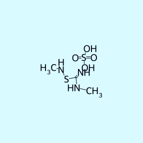 CNSC(=N)NC.O=S(=O)(O)O